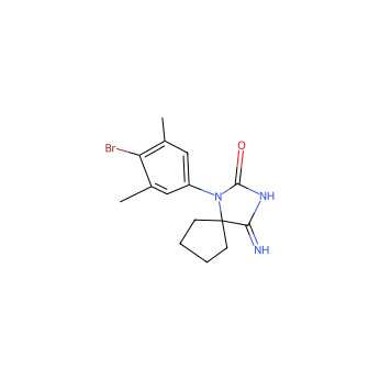 Cc1cc(N2C(=O)NC(=N)C23CCCC3)cc(C)c1Br